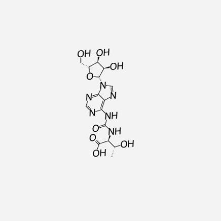 C[C@@H](O)[C@H](NC(=O)Nc1ncnc2c1ncn2[C@@H]1O[C@H](CO)[C@@H](O)[C@H]1O)C(=O)O